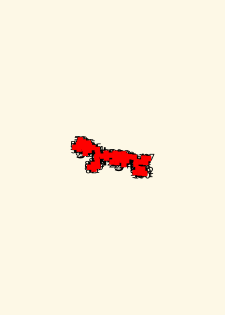 c1ccc(-c2nc(-c3cccc(-c4ccc5c(c4)C4(c6ccccc6S5)c5ccccc5-c5ccc(-c6ccc(-c7nc(-c8cccc(-c9ccc%10c(c9)C9(c%11ccccc%11S%10)c%10ccccc%10-c%10ccccc%109)c8)nc(-c8ccc9ccccc9c8)n7)cc6)cc54)c3)nc(-c3cccc4ccccc34)n2)cc1